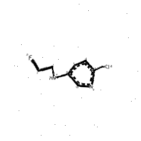 FCCNc1ccc(Cl)nc1